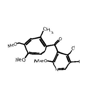 COc1cc(C)c(C(=O)c2c(OC)ncc(I)c2Cl)cc1OC